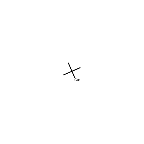 C[C](C)(C)[Ga]